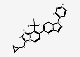 FC(F)(F)c1c(C2=CCC3C(=C2)C=CN3c2ccncc2)ccn2c(CC3CC3)nnc12